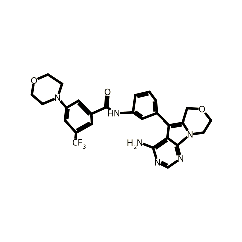 Nc1ncnc2c1c(-c1cccc(NC(=O)c3cc(N4CCOCC4)cc(C(F)(F)F)c3)c1)c1n2CCOC1